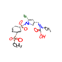 CN(Cc1cc(Br)n(S(=O)(=O)c2cccc(S(C)(=O)=O)c2)c1)C(=O)O